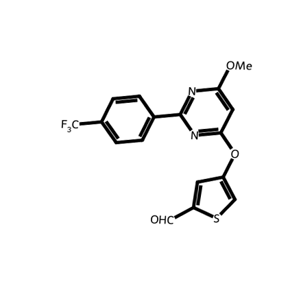 COc1cc(Oc2csc(C=O)c2)nc(-c2ccc(C(F)(F)F)cc2)n1